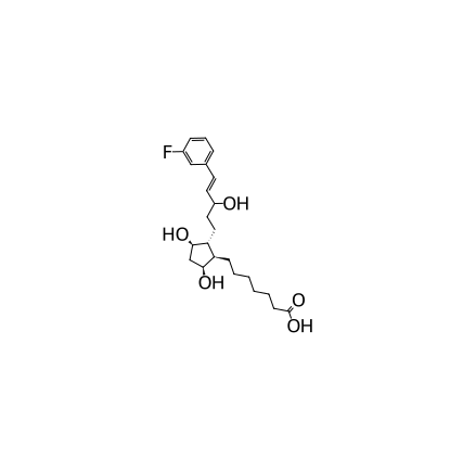 O=C(O)CCCCCC[C@@H]1[C@@H](CCC(O)C=Cc2cccc(F)c2)[C@H](O)C[C@@H]1O